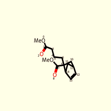 COC(=O)CCCC1(C(=O)OC)CC2C=CC1C2